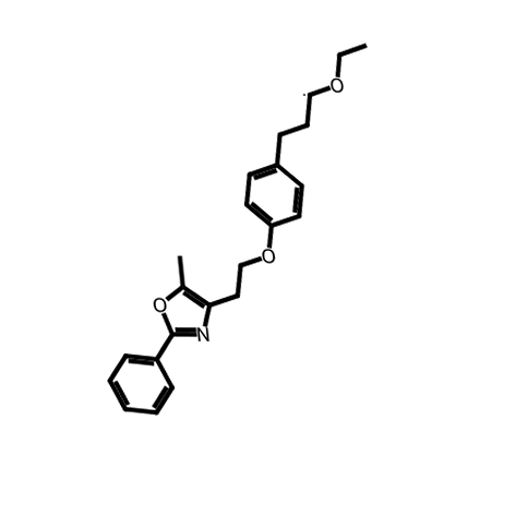 CCO[CH]CCc1ccc(OCCc2nc(-c3ccccc3)oc2C)cc1